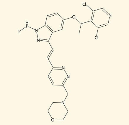 CC(Oc1ccc2c(c1)c(/C=C/c1ccc(CN3CCOCC3)nn1)nn2PI)c1c(Cl)cncc1Cl